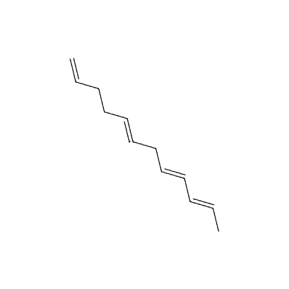 C=CCC/C=[C]/CC=CC=CC